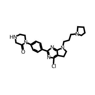 O=C1CNCCN1c1ccc(-c2nc(Cl)c3c(n2)N(CCCN2CCCC2)CC3)cc1